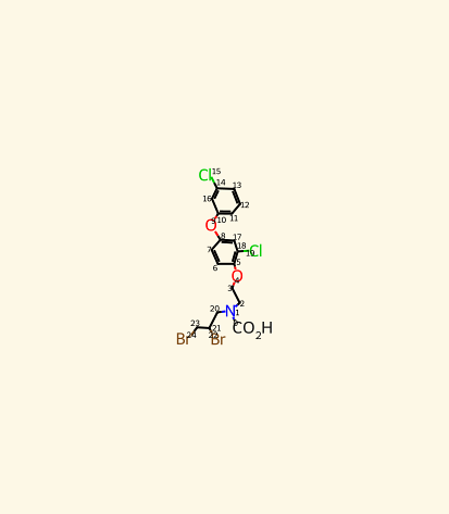 O=C(O)N(CCOc1ccc(Oc2cccc(Cl)c2)cc1Cl)CC(Br)CBr